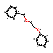 [c]1ccc(COCCOc2ccccc2)cc1